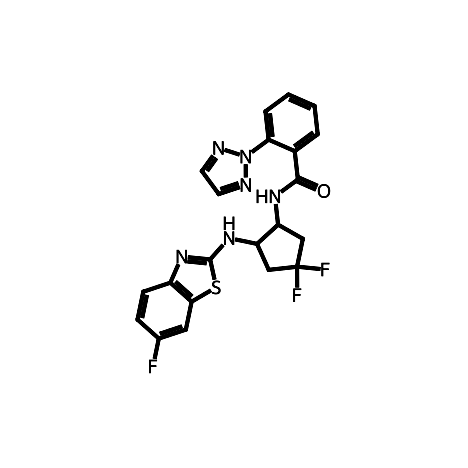 O=C(NC1CC(F)(F)CC1Nc1nc2ccc(F)cc2s1)c1ccccc1-n1nccn1